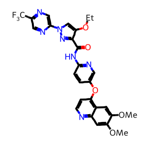 CCOc1cn(-c2cnc(C(F)(F)F)cn2)nc1C(=O)Nc1ccc(Oc2ccnc3cc(OC)c(OC)cc23)cn1